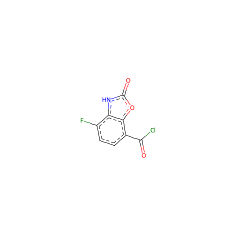 O=C(Cl)c1ccc(F)c2[nH]c(=O)oc12